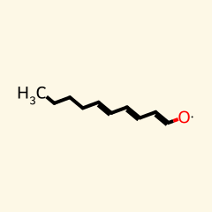 CCCC/C=C/C=C/C=C/[O]